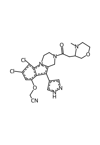 CN1CCOCC1CC(=O)N1CCn2c(c(-c3cn[nH]c3)c3c(OCC#N)cc(Cl)c(Cl)c32)C1